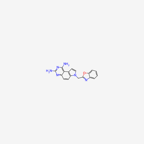 Nc1nc(N)c2c(ccc3c2ccn3Cc2nc3ccccc3o2)n1